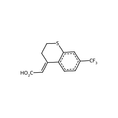 O=C(O)/C=C1\CCSc2cc(C(F)(F)F)ccc21